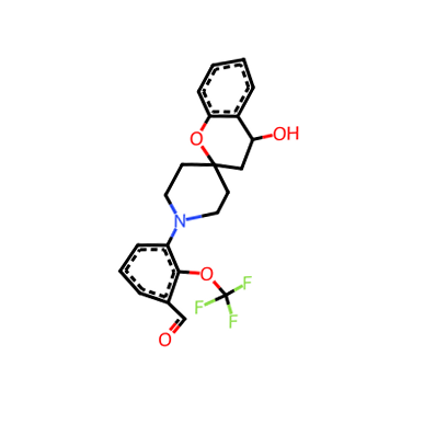 O=Cc1cccc(N2CCC3(CC2)CC(O)c2ccccc2O3)c1OC(F)(F)F